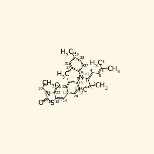 C=C(C)/C(=C\C=C(C)C)N(c1ccc(/C=C2/SC(=O)N(CC)C2=O)cc1)c1ccc(C)cc1C